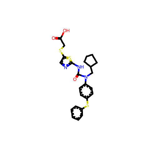 O=C(O)CSc1cnc(NC(=O)N(CC2CCCC2)c2ccc(Sc3ccccc3)cc2)s1